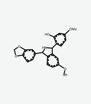 CCCOc1ccc2c(c1)C(c1ccc(OC)cc1O)NC2c1ccc2c(c1)OCO2